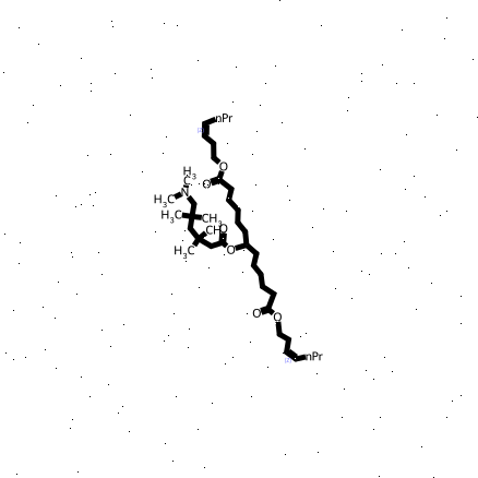 CCC/C=C\CCOC(=O)CCCCCC(CCCCCC(=O)OCC/C=C\CCC)OC(=O)CC(C)(C)CC(C)(C)CN(C)C